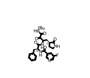 CC(C)(C)NC(=O)C(=O)C(C[C@@H]1CCNC1=O)NC(=O)[C@H](Cc1ccccc1)NC(=O)c1cncc(F)c1